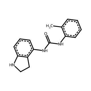 Cc1ccccc1NC(=O)Nc1cccc2c1CCN2